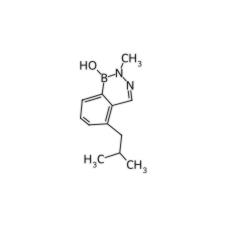 CC(C)Cc1cccc2c1C=NN(C)B2O